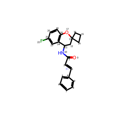 O=C(/C=C/c1ccccc1)NC1CC2(CCC2)Oc2ccc(F)cc21